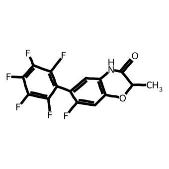 CC1Oc2cc(F)c(-c3c(F)c(F)c(F)c(F)c3F)cc2NC1=O